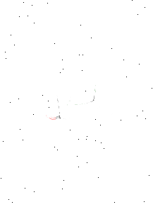 C=C(Cl)Cl.CC(C)=O